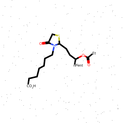 CCCCCC(CCC1SCC(=O)N1CCCCCCC(=O)O)OC(=O)CC